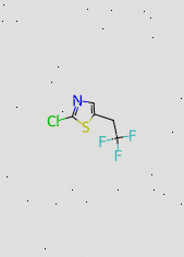 FC(F)(F)Cc1cnc(Cl)s1